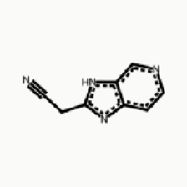 N#CCc1nc2ccncc2[nH]1